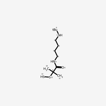 CC(C)(C)NCCCCNC(=O)C(C)(C)SS